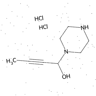 CC#CC(O)N1CCNCC1.Cl.Cl